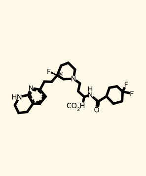 O=C(NC(CCN1CCC[C@@](F)(CCc2ccc3c(n2)NCCC3)C1)C(=O)O)C1CCC(F)(F)CC1